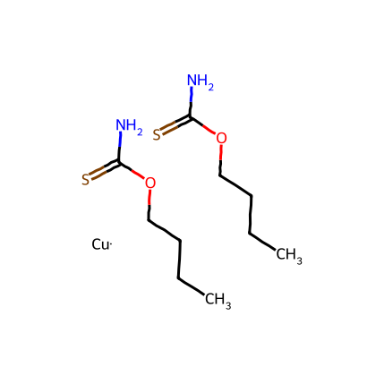 CCCCOC(N)=S.CCCCOC(N)=S.[Cu]